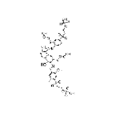 COc1cc(S(=O)(=O)CCOS(=O)(=O)O)c(C)cc1N=Nc1c(SOOO)cc2c(N=Nc3ccc(S(=O)(=O)CCOS(=O)(=O)O)cc3SOOO)c(N)ccc2c1O